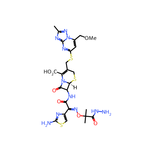 COCc1cc(SCC2=C(C(=O)O)N3C(=O)C(NC(=O)C(=NOC(C)(C)C(=O)NN)c4csc(N)n4)[C@@H]3SC2)nc2nc(C)nn12